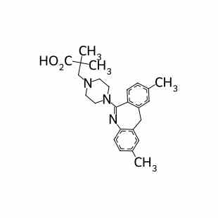 Cc1ccc2c(c1)Cc1cc(C)ccc1C(N1CCN(CC(C)(C)C(=O)O)CC1)=N2